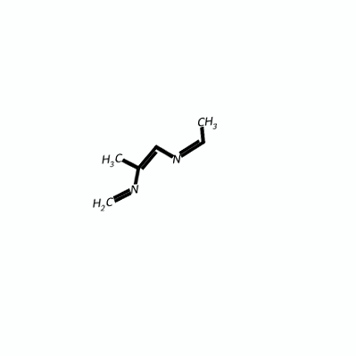 C=N/C(C)=C\N=C/C